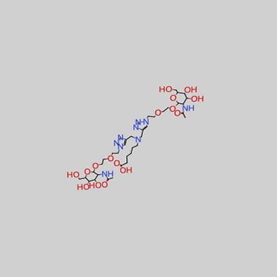 CC(=O)NC1C(OCCOCCn2cc(CN(CCCCCC(=O)O)Cc3cn(CCOCCOC4OC(CO)C(O)C(O)C4NC(C)=O)nn3)nn2)OC(CO)C(O)C1O